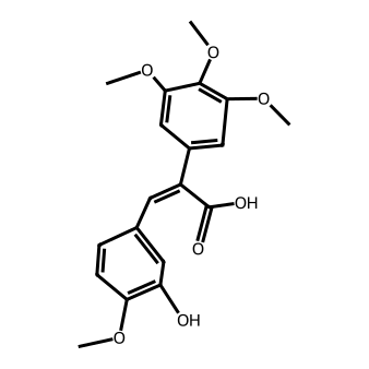 COc1ccc(C=C(C(=O)O)c2cc(OC)c(OC)c(OC)c2)cc1O